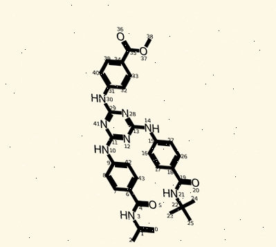 C=C(C)NC(=O)c1ccc(Nc2nc(Nc3ccc(C(=O)NC(C)(C)C)cc3)nc(Nc3ccc(C(=O)OC)cc3)n2)cc1